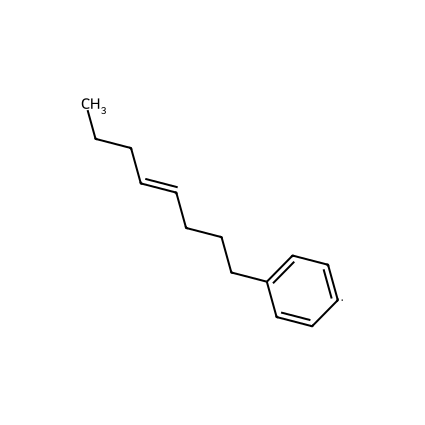 CCCC=CCCCc1cc[c]cc1